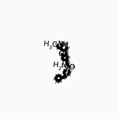 Cc1cc2c(Oc3ccc(C[C@H](N)C(=O)N4CCN(Cc5ccccc5)CC4)cc3F)ccnc2[nH]1